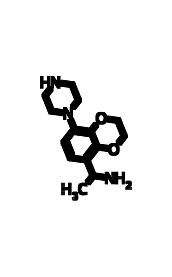 CC(N)c1ccc(N2CCNCC2)c2c1OCCO2